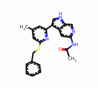 CC(=O)Nc1cc2c(-c3cc(C)cc(SCc4ccccc4)n3)c[nH]c2cn1